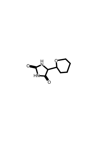 O=C1NC(=O)C(C2CCCCO2)N1